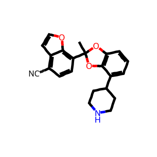 CC1(c2ccc(C#N)c3ccoc23)Oc2cccc(C3CCNCC3)c2O1